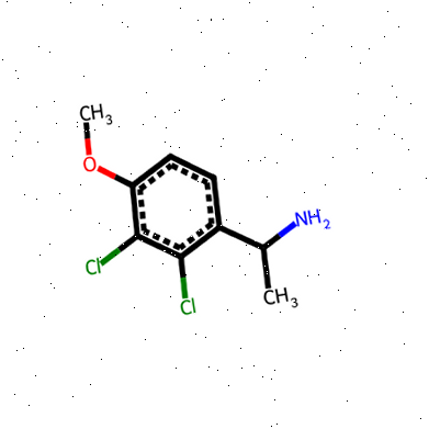 COc1ccc(C(C)N)c(Cl)c1Cl